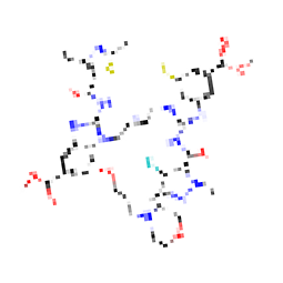 CCc1nc(C)sc1C(=O)Nc1nc2cc(C(=O)OC)cc(OCCCN3CCOCC3)c2n1C/C=C/Cn1c(NC(=O)C2C(F)C(C)=NN2CC)nc2cc(C(=O)OC)cc(SC)c21